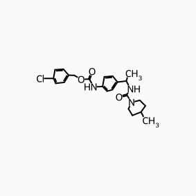 CC1CCN(C(=O)NC(C)c2ccc(NC(=O)OCc3ccc(Cl)cc3)cc2)CC1